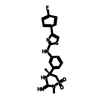 CN1C(=N)N[C@](C)(c2cccc(Nc3nc(-c4ccc(F)cc4)cs3)c2)CS1(=O)=O